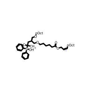 CCCCCCCC/C=C\COC(=O)CCCCCOCC(COCCCCCCCC)CC(C)(C)[Si](O)(c1ccccc1)c1ccccc1